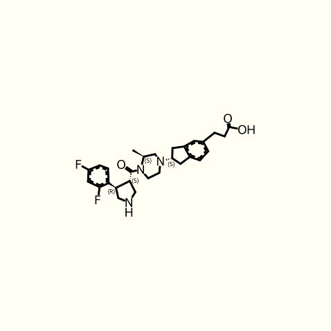 C[C@H]1CN([C@H]2Cc3ccc(CCC(=O)O)cc3C2)CCN1C(=O)[C@@H]1CNC[C@H]1c1ccc(F)cc1F